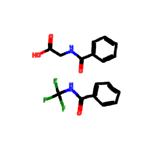 O=C(NC(F)(F)F)c1ccccc1.O=C(O)CNC(=O)c1ccccc1